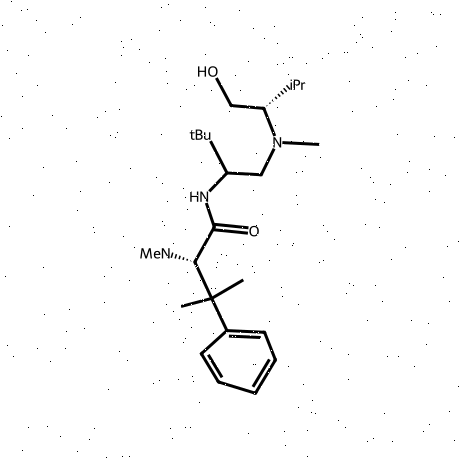 CN[C@H](C(=O)NC(CN(C)[C@H](CO)C(C)C)C(C)(C)C)C(C)(C)c1ccccc1